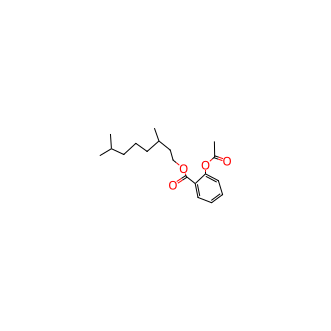 CC(=O)Oc1ccccc1C(=O)OCCC(C)CCCC(C)C